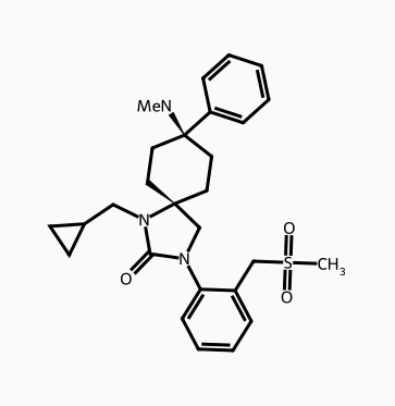 CN[C@]1(c2ccccc2)CC[C@@]2(CC1)CN(c1ccccc1CS(C)(=O)=O)C(=O)N2CC1CC1